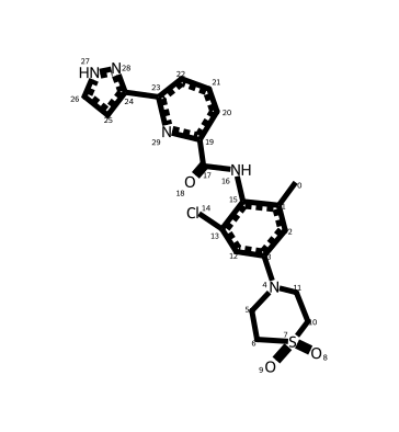 Cc1cc(N2CCS(=O)(=O)CC2)cc(Cl)c1NC(=O)c1cccc(-c2cc[nH]n2)n1